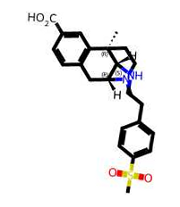 CN1CC[C@]2(C)c3cc(C(=O)O)ccc3C[C@@H]1[C@H]2NCCc1ccc(S(C)(=O)=O)cc1